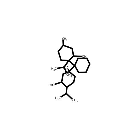 CC1CCC(C(C)C)(C2(C3(C)CCC(C(C)C)C(O)C3)CCCCC2)C(O)C1